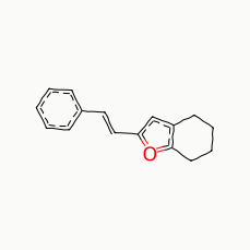 C(=Cc1cc2c(o1)CCCC2)c1ccccc1